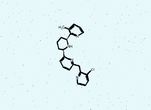 Cc1cccnc1[C@@H]1CCC[C@H](c2cccc(Cc3ncccc3Cl)n2)N1